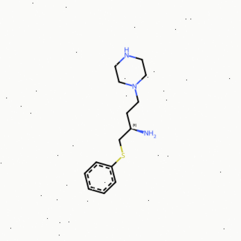 N[C@H](CCN1CCNCC1)CSc1ccccc1